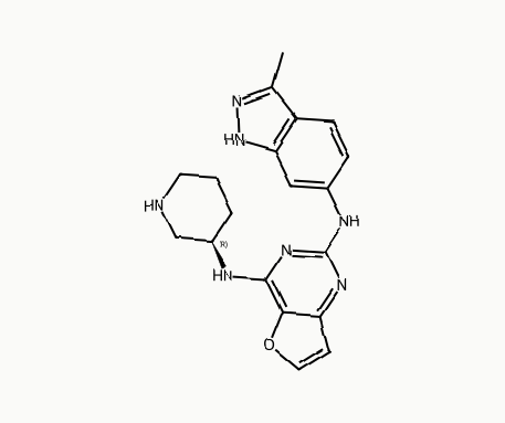 Cc1n[nH]c2cc(Nc3nc(N[C@@H]4CCCNC4)c4occc4n3)ccc12